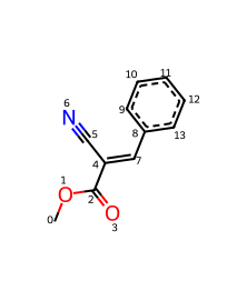 COC(=O)/C(C#N)=C/c1ccccc1